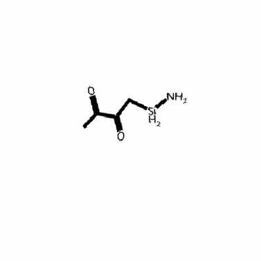 CC(=O)C(=O)C[SiH2]N